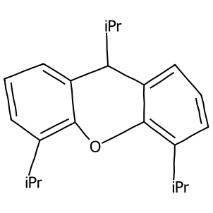 CC(C)c1cccc2c1Oc1c(C(C)C)cccc1C2C(C)C